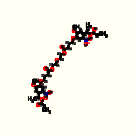 C=CC(=O)OC(C)c1cc(OC)c(OCCCC(=O)OCCOCCOC(=O)CCCOc2cc([N+](=O)[O-])c(C(C)OC(=O)C=C)cc2OC)cc1[N+](=O)[O-]